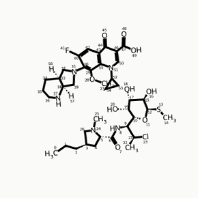 CCC[C@@H]1C[C@@H](C(=O)N[C@@H]([C@H]2O[C@H](SC)[C@H](O)[C@@H](O)[C@H]2O)[C@H](C)Cl)N(C)C1.COc1c(N2C[C@@H]3CCCN[C@@H]3C2)c(F)cc2c(=O)c(C(=O)O)cn(C3CC3)c12